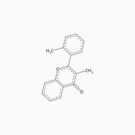 Cc1ccccc1-c1oc2ccccc2c(=O)c1C